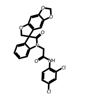 O=C(CN1C(=O)C2(COc3cc4c(cc32)OCO4)c2ccccc21)Nc1ccc(Cl)cc1Cl